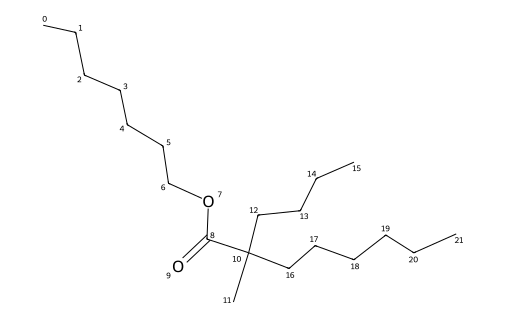 CCCCCCCOC(=O)C(C)(CCCC)CCCCCC